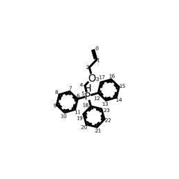 C=CCOC[PH](c1ccccc1)(c1ccccc1)c1ccccc1